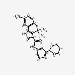 CC1(C)Cc2cnc(N)nc2-c2[nH]nc(C(=O)Nc3cccc(C4OCCCO4)c3)c21